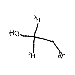 [2H]C([2H])(O)CBr